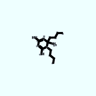 CCCCN1C(S)=NC(S)=NC1(N)CCCC